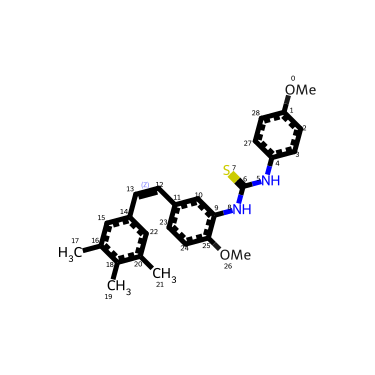 COc1ccc(NC(=S)Nc2cc(/C=C\c3cc(C)c(C)c(C)c3)ccc2OC)cc1